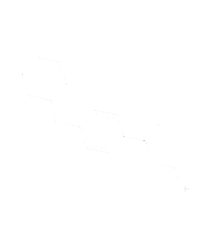 CCOC(=O)c1ccc(OC2CCOCC2)cc1